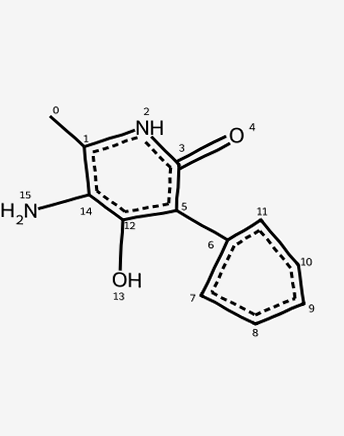 Cc1[nH]c(=O)c(-c2ccccc2)c(O)c1N